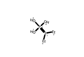 CCS(CC)=P(O)(O)O